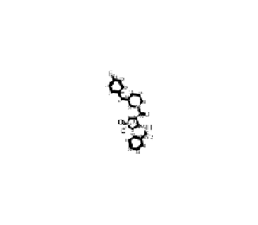 C[C@@H](N[C@@H]1CS(=O)(=O)C[C@H]1C(=O)N1CCCC(Cc2ccc(F)cc2)C1)c1ccccc1